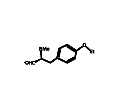 CCOc1ccc(C[C@@H]([C]=O)NC)cc1